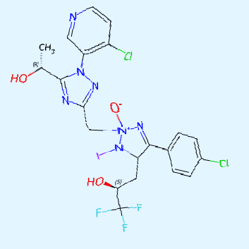 C[C@@H](O)c1nc(C[N+]2([O-])N=C(c3ccc(Cl)cc3)C(C[C@H](O)C(F)(F)F)N2I)nn1-c1cnccc1Cl